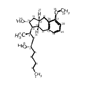 CCCCC[C@H](O)C[C@@H](C)[C@@H]1[C@H]2Cc3cccc(OC)c3C[C@H]2C[C@H]1O